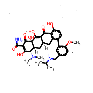 COc1ccc(CNC(C)C)cc1-c1ccc(O)c2c1C[C@H]1C[C@H]3[C@H](N(C)C)C(O)=C(C(N)=O)C(=O)[C@@]3(O)C(O)=C1C2=O